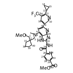 COCC1(CN(C)c2cc(-c3cnc(C4CC4)c(C(F)(F)F)c3)nc3nc(NC(=O)c4ccc(C(=O)OC)cn4)[nH]c23)CCCC1